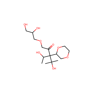 CC(O)C(C(=O)COCC(O)CO)(C1COCCO1)C(C)(C)O